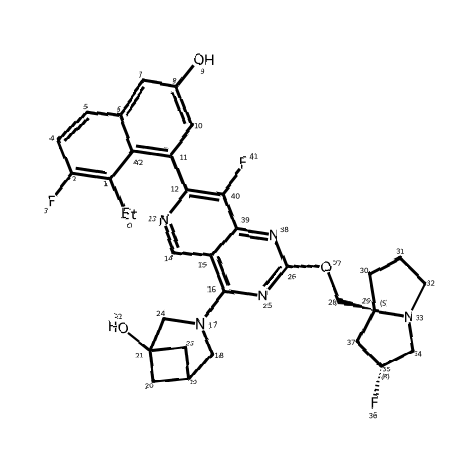 CCc1c(F)ccc2cc(O)cc(-c3ncc4c(N5CC6CC(O)(C6)C5)nc(OC[C@@]56CCCN5C[C@H](F)C6)nc4c3F)c12